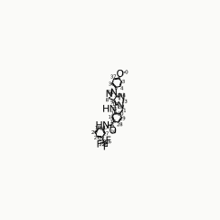 COc1ccc(-n2ncc3c(Nc4cc(C(=O)Nc5cccc(C(F)(F)F)c5)ccc4C)ncnc32)cc1